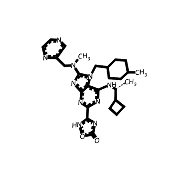 CC1CCC(Cn2c(N(C)Cc3cnccn3)nc3nc(-c4nc(=O)o[nH]4)nc(N[C@H](C)C4CCC4)c32)CC1